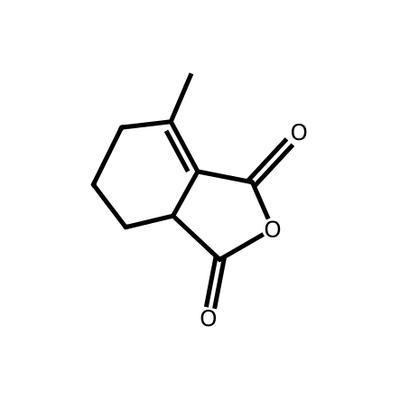 CC1=C2C(=O)OC(=O)C2CCC1